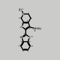 CCN1CCc2c(sc(-c3nc4ccccc4s3)c2NC(C)=O)C1